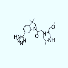 COC[C@H]1CNC(C)CN1CC(=O)N1CC(C)(C)c2ccc(-c3nnn[nH]3)cc21